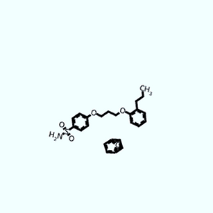 CCCc1ccccc1OCCCOc1ccc(S(N)(=O)=O)cc1.c1cc2ccc1o2